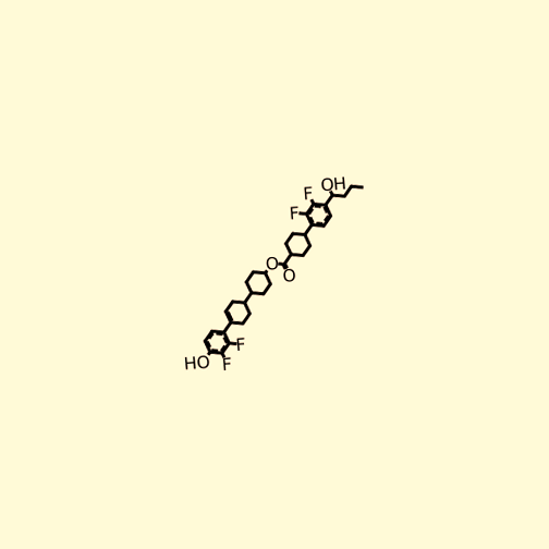 CCCC(O)c1ccc(C2CCC(C(=O)OC3CCC(C4CC=C(c5ccc(O)c(F)c5F)CC4)CC3)CC2)c(F)c1F